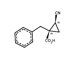 N#C[C@H]1C[C@@]1(Cc1ccccc1)C(=O)O